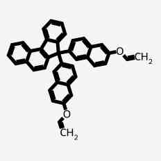 C=COc1ccc2cc(C3(c4ccc5cc(OC=C)ccc5c4)c4ccccc4-c4c3ccc3ccccc43)ccc2c1